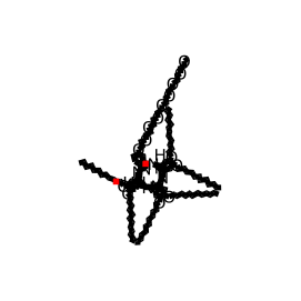 CCCCCCCCCCCCOc1cc2c(cc1OCCCCCCCCCCCC)-c1nc-2nc2[nH]c(nc3nc(nc4[nH]c(n1)c1cc(OCCCCCCCCCCCC)c(OCCCCCCCCCCCC)cc41)-c1cc(OCCOCCOCCOCCOCCOCCOCCOCCOC)ccc1-3)c1cc(OCCCCCCCCCCCC)c(OCCCCCCCCCCCC)cc21